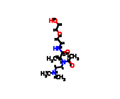 CC(=O)N(CCN(C)C)[C@@H](C)C(=O)NCCOCCO